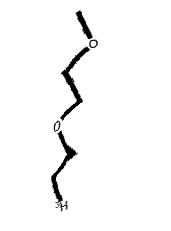 [3H]CCOCCOC